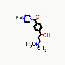 CC(C)N1CCN(C(=O)c2ccc(C(O)CCN(C)C)cc2)CC1